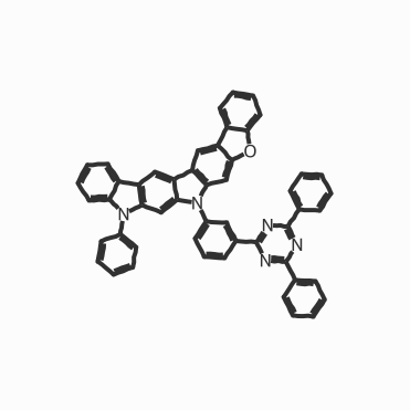 c1ccc(-c2nc(-c3ccccc3)nc(-c3cccc(-n4c5cc6oc7ccccc7c6cc5c5cc6c7ccccc7n(-c7ccccc7)c6cc54)c3)n2)cc1